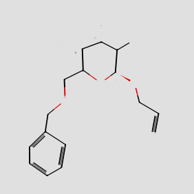 C=CCO[C@H]1OC(COCc2ccccc2)[C@H](O)[C@H](O)C1C